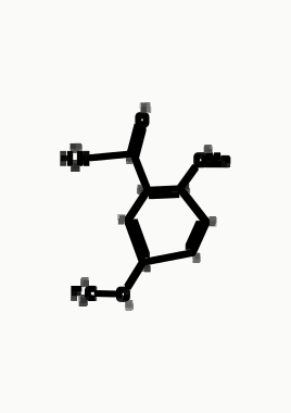 COc1ccc(OC(F)(F)F)cc1C(N)=O